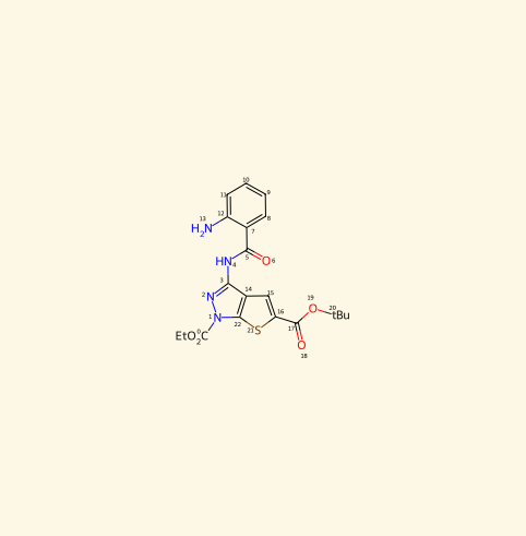 CCOC(=O)n1nc(NC(=O)c2ccccc2N)c2cc(C(=O)OC(C)(C)C)sc21